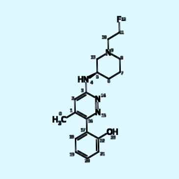 Cc1cc(N[C@@H]2CCCN(CCF)C2)nnc1-c1ccccc1O